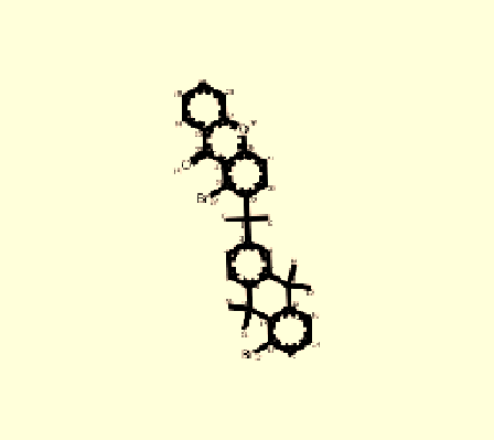 CC(C)(c1ccc2c(c1)C(C)(C)c1cccc(Br)c1C2(C)C)c1ccc2oc3ccccc3c(=O)c2c1Br